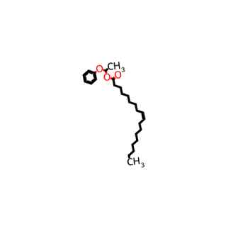 CCCCCCCC/C=C\CCCCCCCC(=O)OC(C)Oc1ccccc1